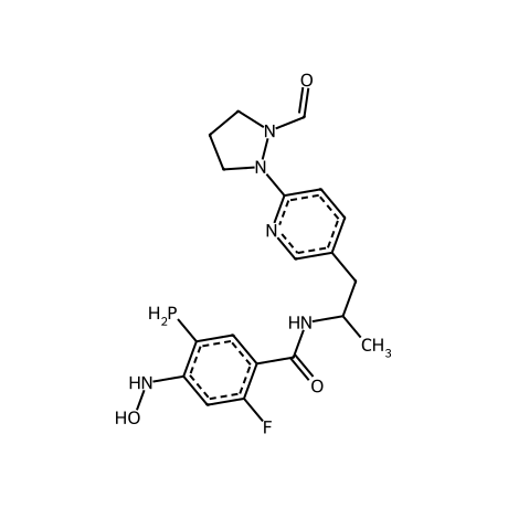 CC(Cc1ccc(N2CCCN2C=O)nc1)NC(=O)c1cc(P)c(NO)cc1F